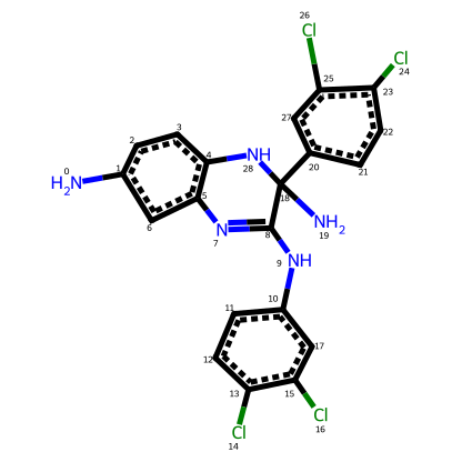 Nc1ccc2c(c1)N=C(Nc1ccc(Cl)c(Cl)c1)C(N)(c1ccc(Cl)c(Cl)c1)N2